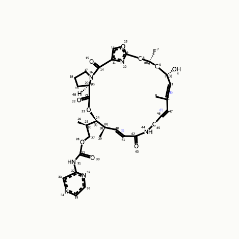 CC1=C\[C@@H](O)C[C@@H](F)Cc2nc(co2)C(=O)N2CCC[C@@H]2C(=O)O[C@H]([C@H](C)COC(=O)Nc2cnccn2)[C@H](C)/C=C/C(=O)NC\C=C\1